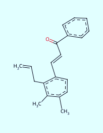 C=CCc1c(C=CC(=O)c2ccccc2)ccc(C)c1C